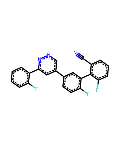 N#Cc1cccc(F)c1-c1cc(-c2cnnc(-c3ccccc3F)c2)ccc1F